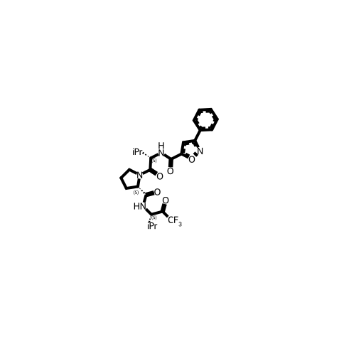 CC(C)[C@H](NC(=O)c1cc(-c2ccccc2)no1)C(=O)N1CCC[C@H]1C(=O)N[C@H](C(=O)C(F)(F)F)C(C)C